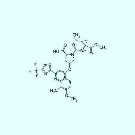 CC[C@@H]1C[C@]1(NC(=O)N1C[C@@H](Oc2cc(-c3nc(C(F)(F)F)cs3)nc3c(C)c(OC)ccc23)C[C@H]1C(=O)O)C(=O)OC